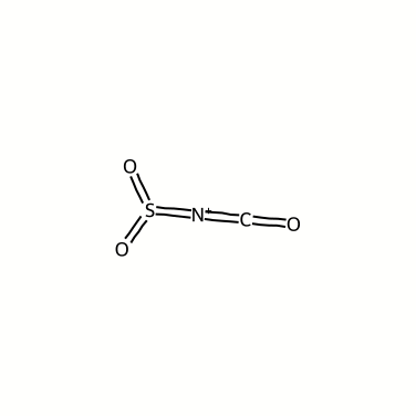 O=C=[N+]=S(=O)=O